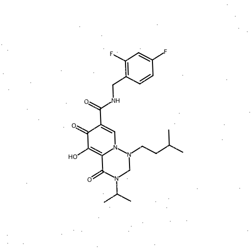 CC(C)CCN1CN(C(C)C)C(=O)c2c(O)c(=O)c(C(=O)NCc3ccc(F)cc3F)cn21